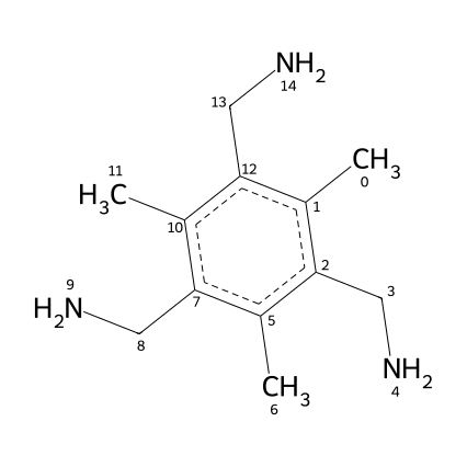 Cc1c(CN)c(C)c(CN)c(C)c1CN